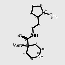 CNC1(C(=O)NCCC2CCCN2C)CCNCC1